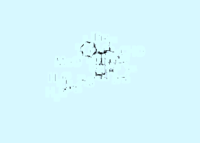 COc1cccc(C(=O)NC2(N(C=O)C(CC(C)C)C(=O)c3nnc(SCCN(C)C)o3)CCCCC2)c1